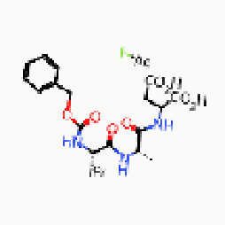 CC(=O)F.CC(C)[C@H](NC(=O)OCc1ccccc1)C(=O)N[C@@H](C)C(=O)NC(CC(=O)O)C(=O)O